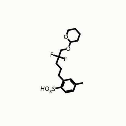 Cc1ccc(S(=O)(=O)O)c(CCCC(F)(F)COC2CCCCO2)c1